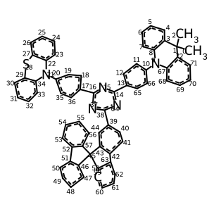 CC1(C)c2ccccc2N(c2ccc(-c3nc(-c4ccc(N5c6ccccc6Sc6ccccc65)cc4)nc(-c4ccc5c(c4)C4(c6ccccc6-c6ccccc64)c4ccccc4-5)n3)cc2)c2ccccc21